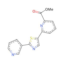 COC(=O)c1cccc(-c2cnc(-c3cccnc3)s2)n1